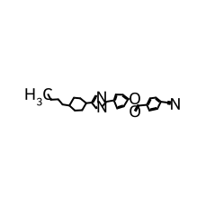 CCCCC1CCC(c2cnc(-c3ccc(OC(=O)c4ccc(C#N)cc4)cc3)nc2)CC1